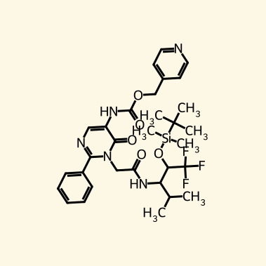 CC(C)C(NC(=O)Cn1c(-c2ccccc2)ncc(NC(=O)OCc2ccncc2)c1=O)C(O[Si](C)(C)C(C)(C)C)C(F)(F)F